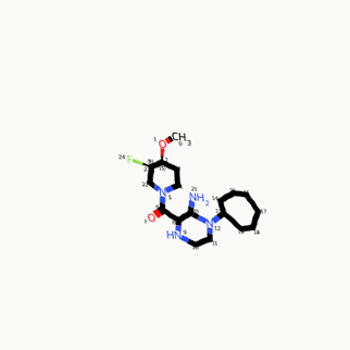 CO[C@H]1CCN(C(=O)C2NCCN(C3CCCCCC3)C2N)C[C@H]1F